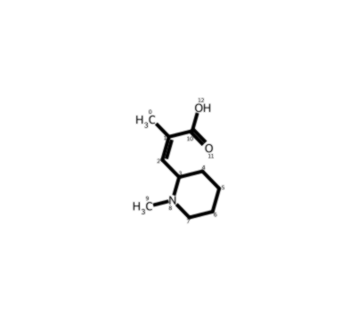 CC(=CC1CCCCN1C)C(=O)O